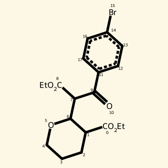 CCOC(=O)C1CCCOC1C(C(=O)OCC)C(=O)c1ccc(Br)cc1